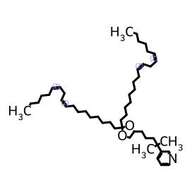 CCCCC/C=C\C/C=C\CCCCCCCCC1(CCCCCCCC/C=C\C/C=C\CCCCC)OCC(CCCC(C)(C)c2cccnc2)O1